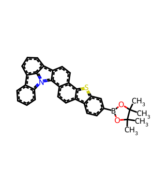 CC1(C)OB(c2ccc3c(c2)sc2c3ccc3c2ccc2c4cccc5c6ccccc6n(c32)c54)OC1(C)C